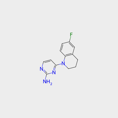 Nc1nccc(N2CCCc3cc(F)ccc32)n1